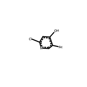 CC(=O)c1cnc(Cl)cc1O